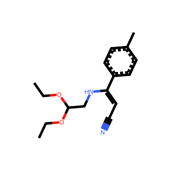 CCOC(CN/C(=C\C#N)c1ccc(C)cc1)OCC